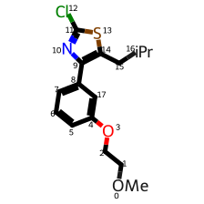 COCCOc1cccc(-c2nc(Cl)sc2CC(C)C)c1